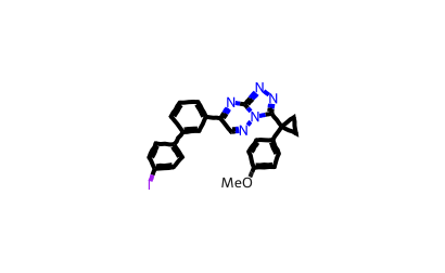 COc1ccc(C2(c3nnc4nc(-c5cccc(-c6ccc(I)cc6)c5)cnn34)CC2)cc1